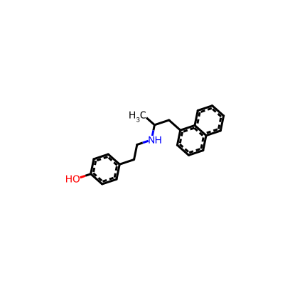 CC(Cc1cccc2ccccc12)NCCc1ccc(O)cc1